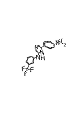 Nc1ccc(-c2cncc(Nc3cccc(C(F)(F)F)c3)n2)cc1